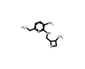 CCc1ccc(N)c(NCC2OCC2C)n1